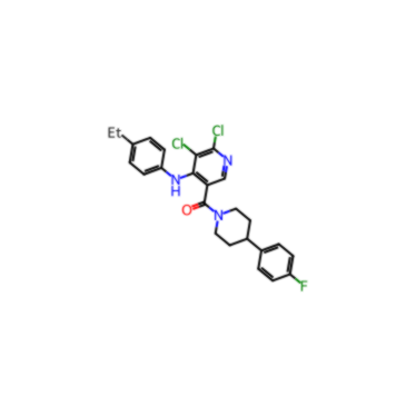 CCc1ccc(Nc2c(C(=O)N3CCC(c4ccc(F)cc4)CC3)cnc(Cl)c2Cl)cc1